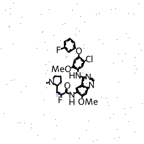 COc1cc2ncnc(Nc3cc(Cl)c(Oc4cccc(F)c4)cc3OC)c2cc1NC(=O)/C(F)=C\C1CCCN1C